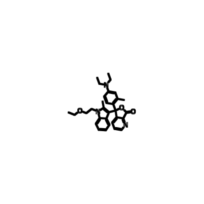 CCOCCn1c(C)c(C2(c3ccc(N(CC)CC)cc3C)OC(=O)c3ncccc32)c2ccccc21